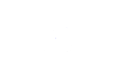 Cc1cc(C)c(N2CCCC2)c(C)c1NC(=O)c1ccccc1OCc1ccccc1